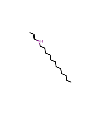 CC=CPCCCCCCCCCCCC